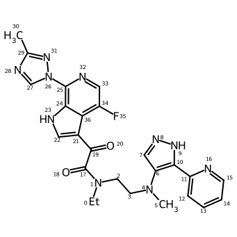 CCN(CCN(C)c1cn[nH]c1-c1ccccn1)C(=O)C(=O)c1c[nH]c2c(-n3cnc(C)n3)ncc(F)c12